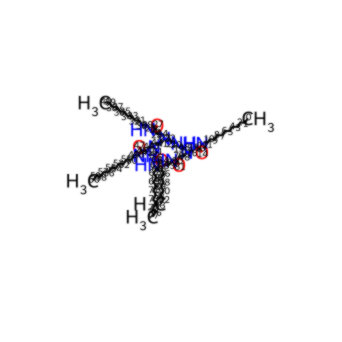 CCCCCCCCCCCCNC(=O)CCN(CCNCCN(CCC(=O)NCCCCCCCCCCCC)CCN(CCC(=O)NCCCCCCCCCCCC)CCC(=O)NCCCCCCCCCCCC)CCC(=O)NCCCCCCCCCCC